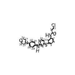 O=C(C=CCl)Nc1cccc(Sc2ccnc(Nc3ccc(N4CCOCC4)cc3)n2)c1